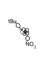 CC(C)(C)c1ccc([C@@H]2CCO[P@@](=O)(Oc3ccc([N+](=O)[O-])cc3)O2)cc1